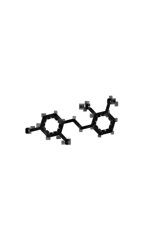 Cc1cc[c]c(CCc2ccc(Cl)cc2Cl)c1C